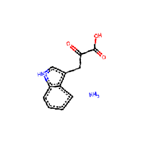 N.O=C(O)C(=O)Cc1c[nH]c2ccccc12